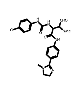 CNC(C=O)C(NC(=O)Nc1ccc(Cl)cc1)C(=O)Nc1ccc(C2=NCCN2C)cc1